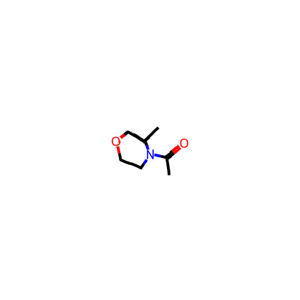 CC(=O)N1CCOCC1C